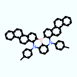 Cc1ccc(N2c3cccc4c3B(c3ccc5c(ccc6c7ccccc7ccc56)c32)c2ccc3c(ccc5c6ccccc6ccc35)c2N4c2ccc(C)cc2)cc1